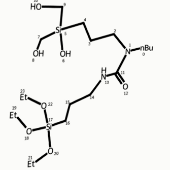 CCCCN(CCC[Si](O)(CO)CO)C(=O)NCCC[Si](OCC)(OCC)OCC